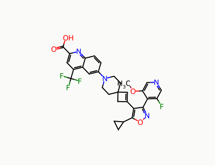 COc1cncc(F)c1-c1noc(C2CC2)c1C1=CC2(CCN(c3ccc4nc(C(=O)O)cc(C(F)(F)F)c4c3)CC2)C1